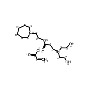 C=CC(=O)Cl.O=C(CCN(CCO)CCO)OCCN1CCCCCC1